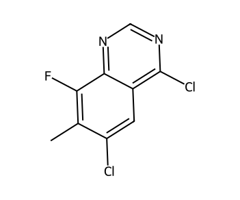 Cc1c(Cl)cc2c(Cl)ncnc2c1F